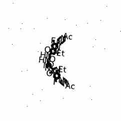 CCn1cc(-c2nnc(NC(=O)Nc3cn(CC)c4nc(N5CCN(C(C)=O)CC5)c(F)cc4c3=O)o2)c(=O)c2cc(F)c(N3CCN(C(C)=O)CC3)cc21